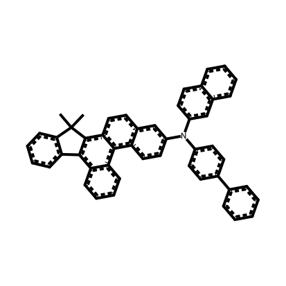 CC1(C)c2ccccc2-c2c1c1ccc3cc(N(c4ccc(-c5ccccc5)cc4)c4ccc5ccccc5c4)ccc3c1c1ccccc21